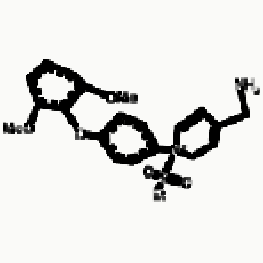 CCS(=O)(=O)[N+]1(c2ccc(Oc3c(OC)cccc3OC)cc2)C=CC(CN)=CC1